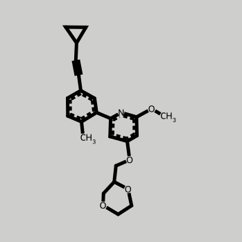 COc1cc(OCC2COCCO2)cc(-c2cc(C#CC3CC3)ccc2C)n1